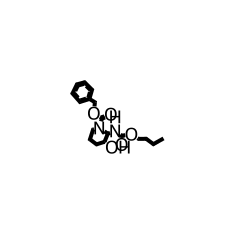 CCCCOC(=O)NC1C(O)CCCN1C(=O)OCc1ccccc1